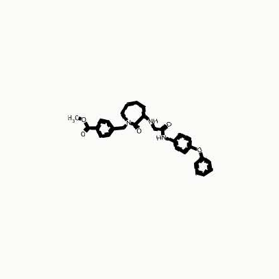 COC(=O)c1ccc(CN2CCCCC(NCC(=O)Nc3ccc(Oc4ccccc4)cc3)C2=O)cc1